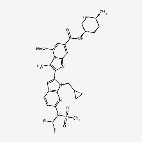 COc1cc(C(=O)N[C@@H]2CC[C@H](C)NC2)cc2nc(-c3cc4ccc(N(C(F)F)S(C)(=O)=O)nc4n3CC3CC3)c(C)n12